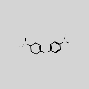 C[S+]([O-])c1ccc(SC2=CCC([S+](C)[O-])CC2)cc1